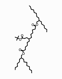 CCCCCCCCC(CCCCCC)COC(=O)CCCCCC(CCCCCC(=O)OCC(CCCCCC)CCCCCCCC)CCC(=O)OC(C)(C)C